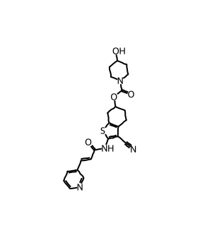 N#Cc1c(NC(=O)C=Cc2cccnc2)sc2c1CCC(OC(=O)N1CCC(O)CC1)C2